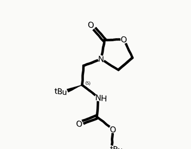 CC(C)(C)OC(=O)N[C@H](CN1CCOC1=O)C(C)(C)C